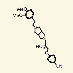 COc1ccc(CCN2CC3CN(C[C@H](O)COc4ccc(C#N)cc4)CC3C2)cc1OC